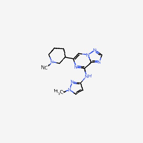 Cn1ccc(Nc2nc(C3CCCN(C#N)C3)cn3ncnc23)n1